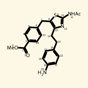 COC(=O)c1ccc(Cc2sc(NC(C)=O)nc2CCc2ccc(N)cc2)cc1